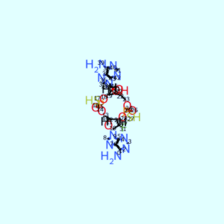 Nc1ncnc2c1ncn2[C@@H]1O[C@@H]2COP(=O)(S)O[C@@H]3[C@H](O)C(COP(=O)(S)O[C@H]2[C@H]1F)O[C@H]3n1cnc2c(N)ncnc21